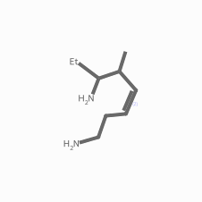 CCC(N)C(C)/C=C\CCN